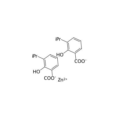 CC(C)c1cccc(C(=O)[O-])c1O.CC(C)c1cccc(C(=O)[O-])c1O.[Zn+2]